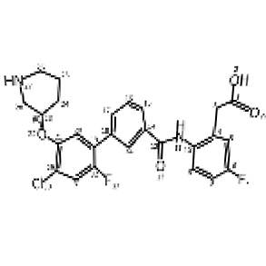 O=C(O)Cc1cc(F)ccc1NC(=O)c1cccc(-c2cc(O[C@@H]3CCCNC3)c(Cl)cc2F)c1